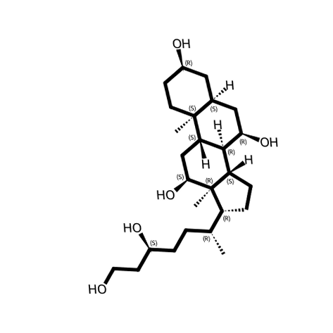 C[C@H](CC[C@H](O)CCO)[C@H]1CC[C@H]2[C@@H]3[C@H](O)C[C@@H]4C[C@H](O)CC[C@]4(C)[C@H]3C[C@H](O)[C@]12C